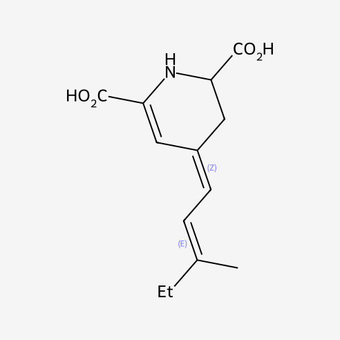 CC/C(C)=C/C=C1\C=C(C(=O)O)NC(C(=O)O)C1